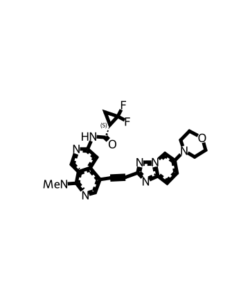 CNc1ncc(C#Cc2nc3ccc(N4CCOCC4)cn3n2)c2cc(NC(=O)[C@@H]3CC3(F)F)ncc12